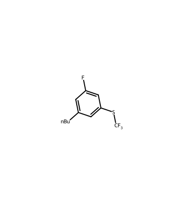 [CH2]CCCc1cc(F)cc(SC(F)(F)F)c1